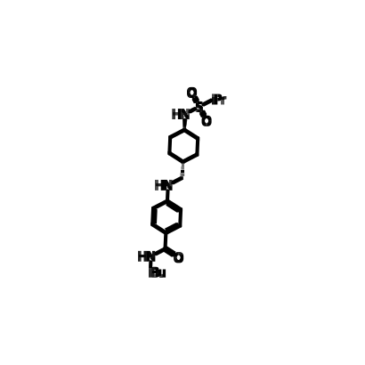 CCC(C)NC(=O)c1ccc(NC[C@H]2CC[C@H](NS(=O)(=O)C(C)C)CC2)cc1